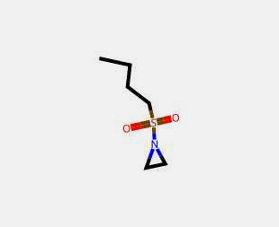 CCCCS(=O)(=O)N1CC1